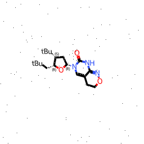 CC(C)(C)C[C@H]1O[C@@H](N2C=C3CCON=C3NC2=O)C[C@H]1C(C)(C)C